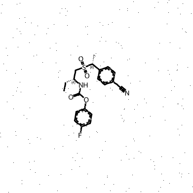 CC[C@H](CS(=O)(=O)[C@H](C)c1ccc(C#N)cc1)NC(=O)Oc1ccc(F)cc1